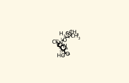 C[Si](C)(C)CCOCn1c(Cl)cc2cc(C(=O)O)cnc21